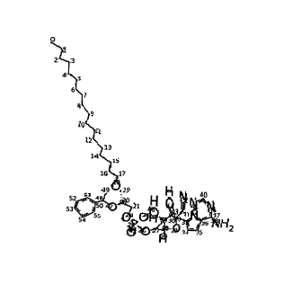 CCCCCCCCCCCCCCCCCCOC[C@H](COP(=O)(O)OC1[C@H]2O[C@@](C#N)(c3ccc4c(N)ncnn34)[C@H](O)[C@@]12O)OC(C)c1ccccc1